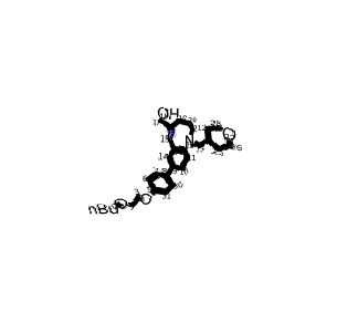 CCCCOCCOc1ccc(-c2ccc3c(c2)/C=C(/CO)CCCN3CC2CCOCC2)cc1